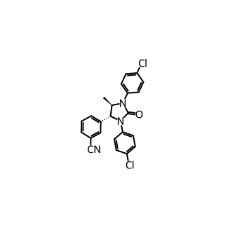 C[C@@H]1[C@@H](c2cccc(C#N)c2)N(c2ccc(Cl)cc2)C(=O)N1c1ccc(Cl)cc1